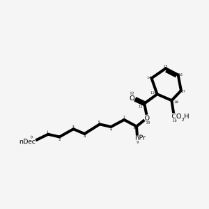 CCCCCCCCCCCCCCCCCC(CCC)OC(=O)C1CC=CCC1C(=O)O